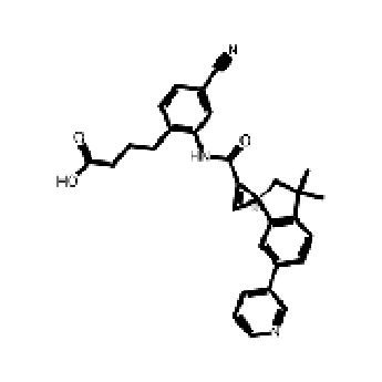 CC1(C)C[C@]2(C=C2C(=O)Nc2cc(C#N)ccc2CCCC(=O)O)c2cc(-c3cccnc3)ccc21